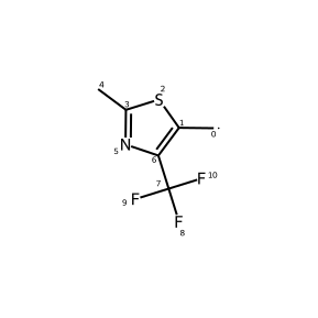 [CH2]c1sc(C)nc1C(F)(F)F